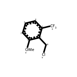 COc1cccc(C(F)(F)F)c1CCl